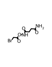 NC(=O)CCC(=O)NOC(=O)CBr